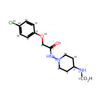 O=C(O)NC1CCN(NC(=O)COc2ccc(Cl)cc2)CC1